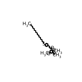 CCCCCCCCCCCCCCCCCCSc1ccc(C=CC(=O)c2cc(OC)cc(OC)c2OC)cc1